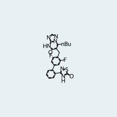 CCCCc1c(Cc2c(F)cc(-c3ccccc3-c3nsc(=O)[nH]3)cc2F)c(=O)[nH]c2ncnn12